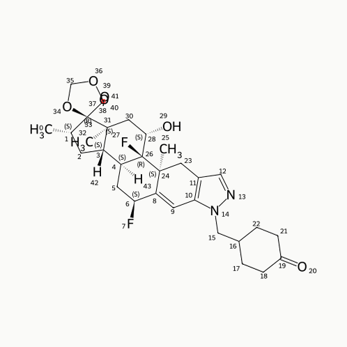 C[C@H]1C[C@H]2[C@@H]3C[C@H](F)C4=Cc5c(cnn5CC5CCC(=O)CC5)C[C@]4(C)[C@@]3(F)[C@@H](O)C[C@]2(C)[C@]12OCOC21COCO1